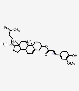 COc1cc(/C=C/C(=O)OC2CCC3(C)C(=CCC4C3CCC3(C)C4CCC3[C@H](C)CCC(C)C(C)C)C2)ccc1O